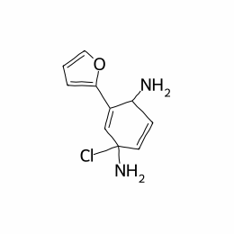 NC1C=CC(N)(Cl)C=C1c1ccco1